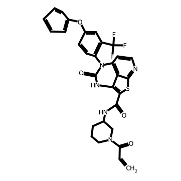 C=CC(=O)N1CCCC(NC(=O)c2sc3nccc4c3c2NC(=O)N4c2ccc(Oc3ccccc3)cc2C(F)(F)F)C1